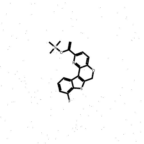 C=C(O[Si](C)(C)C)c1ccc2c(n1)-c1c(sc3c(F)cccc13)CO2